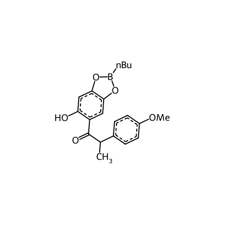 CCCCB1Oc2cc(O)c(C(=O)C(C)c3ccc(OC)cc3)cc2O1